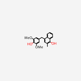 COc1cc(Cc2cc(C)c(O)c3ccccc23)cc(OC)c1O